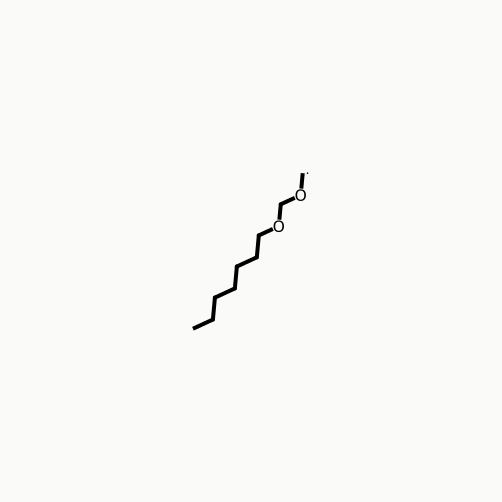 [CH2]OCOCCCCCCC